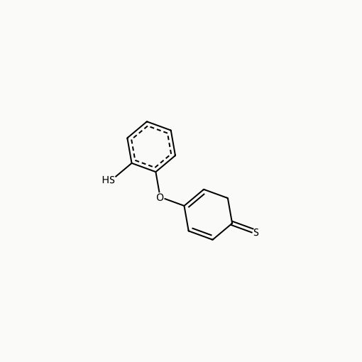 S=C1C=CC(Oc2ccccc2S)=CC1